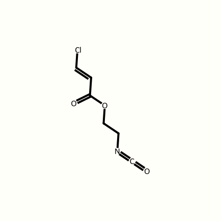 O=C=NCCOC(=O)C=CCl